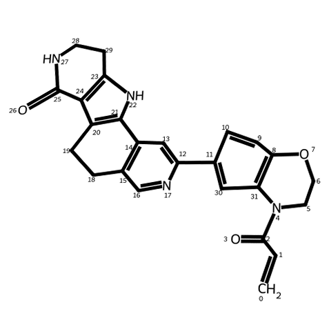 C=CC(=O)N1CCOc2ccc(-c3cc4c(cn3)CCc3c-4[nH]c4c3C(=O)NCC4)cc21